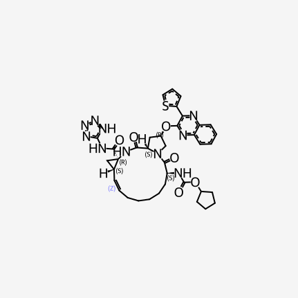 O=C(N[C@H]1CCCCC/C=C\[C@@H]2C[C@@]2(C(=O)Nc2nnn[nH]2)NC(=O)[C@@H]2C[C@@H](Oc3nc4ccccc4nc3-c3cccs3)CN2C1=O)OC1CCCC1